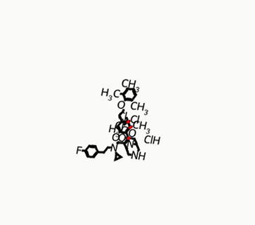 Cc1ccc(C)c(OCCc2ccc(C3=C(C(=O)N(CCc4ccc(F)cc4)C4CC4)C4CNCC(C3)N4C(=O)OC(C)(C)C(Cl)(Cl)Cl)cc2)c1C.Cl